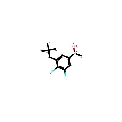 CB(O)c1cc(F)c(F)c(CC(C)(C)C)c1